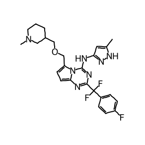 Cc1cc(Nc2nc(C(F)(F)c3ccc(F)cc3)nc3ccc(COCC4CCCN(C)C4)n23)n[nH]1